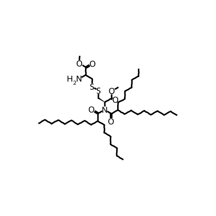 CCCCCCCCCC(CCCCCCC)C(=O)N(C(=O)C(CCCCCCC)CCCCCCCCC)[C@@H](CSSCC(N)C(=O)OC)C(=O)OC